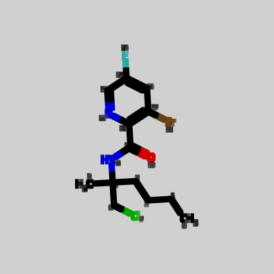 CCCCC(C)(CCl)NC(=O)c1ncc(F)cc1Br